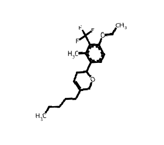 CCCCCC1=CCC(c2ccc(OCC)c(C(F)(F)F)c2C)OC1